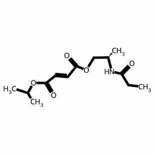 CCC(=O)N[C@@H](C)COC(=O)/C=C/C(=O)OC(C)C